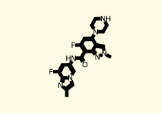 Cc1cn2cc(NC(=O)c3c(F)cc(N4CCNCC4)c4cn(C)nc34)cc(F)c2n1